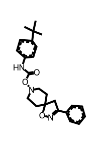 CC(C)(C)c1ccc(NC(=O)ON2CCC3(CC2)CC(c2ccccc2)=NO3)cc1